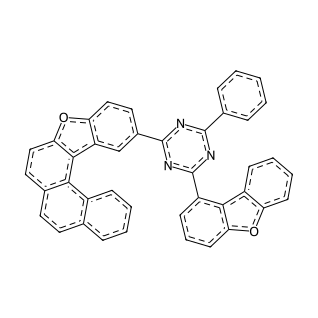 c1ccc(-c2nc(-c3ccc4oc5ccc6ccc7ccccc7c6c5c4c3)nc(-c3cccc4oc5ccccc5c34)n2)cc1